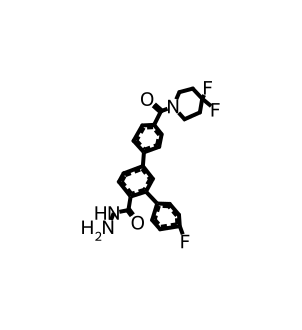 NNC(=O)c1ccc(-c2ccc(C(=O)N3CCC(F)(F)CC3)cc2)cc1-c1ccc(F)cc1